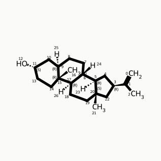 C=C(C)[C@@H]1C[C@@H]2[C@H]3CC[C@@H]4C[C@@H](O)CC[C@@]4(C)[C@@H]3CC[C@@]2(C)C1